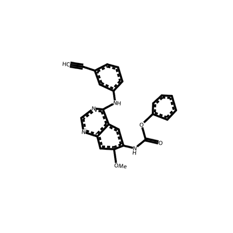 C#Cc1cccc(Nc2ncnc3cc(OC)c(NC(=O)Oc4ccccc4)cc23)c1